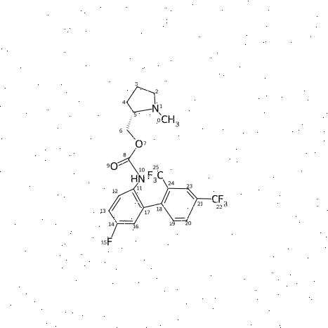 CN1CCC[C@H]1COC(=O)Nc1ccc(F)cc1-c1ccc(C(F)(F)F)cc1C(F)(F)F